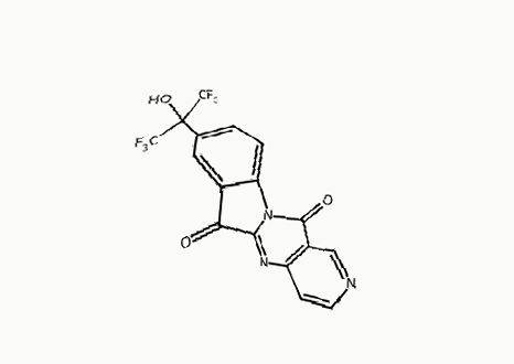 O=C1c2cc(C(O)(C(F)(F)F)C(F)(F)F)ccc2-n2c1nc1ccncc1c2=O